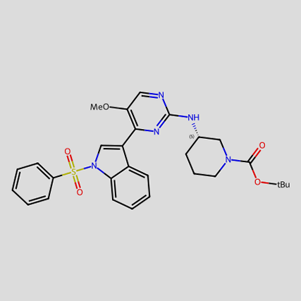 COc1cnc(N[C@H]2CCCN(C(=O)OC(C)(C)C)C2)nc1-c1cn(S(=O)(=O)c2ccccc2)c2ccccc12